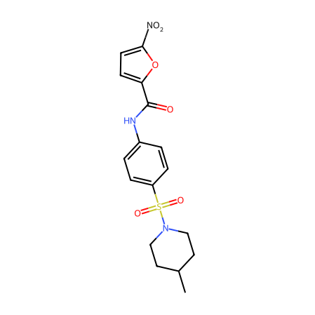 CC1CCN(S(=O)(=O)c2ccc(NC(=O)c3ccc([N+](=O)[O-])o3)cc2)CC1